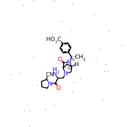 C[C@@H](c1ccc(C(=O)O)cc1)N1C(=O)C2C[C@H]1CN2CC(N)C(=O)N1CCCC1C#N